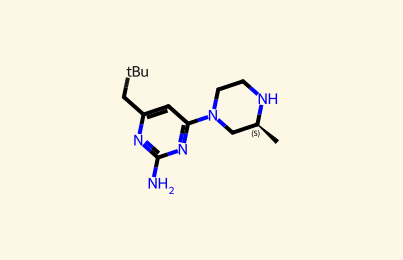 C[C@H]1CN(c2cc(CC(C)(C)C)nc(N)n2)CCN1